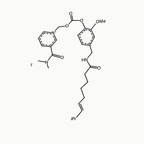 COc1cc(CNC(=O)CCCCC=CC(C)C)ccc1OC(=O)OC[n+]1cccc(C(=O)N(C)C)c1.[I-]